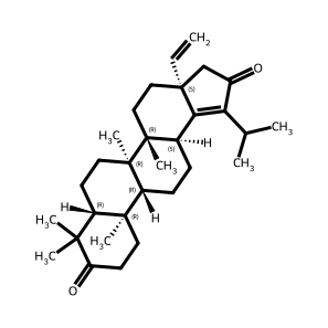 C=C[C@@]12CC[C@]3(C)[C@H](CC[C@@H]4[C@@]5(C)CCC(=O)C(C)(C)[C@@H]5CC[C@]43C)C1=C(C(C)C)C(=O)C2